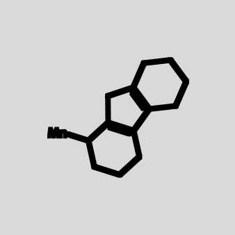 [Mn][CH]1CCCC2=C1CC1=C2CCCC1